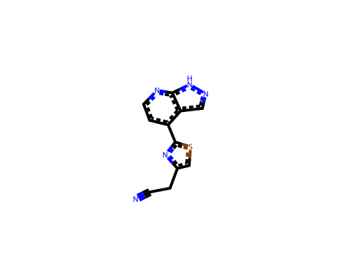 N#CCc1csc(-c2ccnc3[nH]ncc23)n1